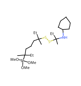 CCC(C)(CCCC(C)(CC)[Si](OC)(OC)OC)SSC(C)(CC)NC1CCCCC1